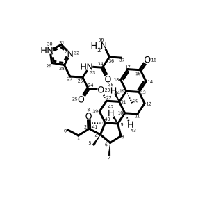 CCC(=O)[C@@]1(C)[C@H](C)C[C@H]2[C@@H]3CCC4=CC(=O)C=C[C@]4(C)[C@H]3[C@@H](OC(=O)C(Cc3c[nH]cn3)NC(=O)C(C)N)C[C@@]21C